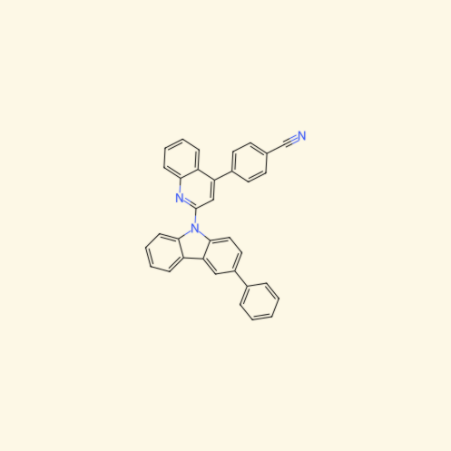 N#Cc1ccc(-c2cc(-n3c4ccccc4c4cc(-c5ccccc5)ccc43)nc3ccccc23)cc1